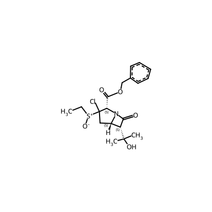 CC[S+]([O-])C1(Cl)C[C@H]2[C@@H](C(C)(C)O)C(=O)N2[C@H]1C(=O)OCc1ccccc1